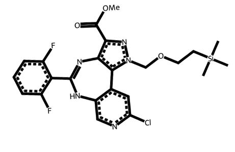 COC(=O)c1nn(COCC[Si](C)(C)C)c2c1N=C(c1c(F)cccc1F)Nc1cnc(Cl)cc1-2